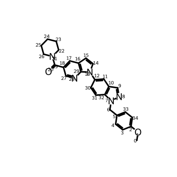 COc1ccc(Cn2ncc3cc(-n4ccc5cc(C(=O)N6CCCCC6)cnc54)ccc32)cc1